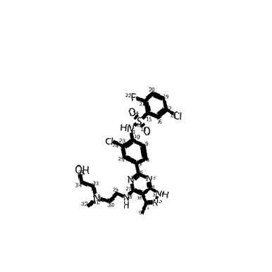 Cc1n[nH]c2nc(-c3ccc(NS(=O)(=O)c4cc(Cl)ccc4F)c(Cl)c3)nc(NCCN(C)CCO)c12